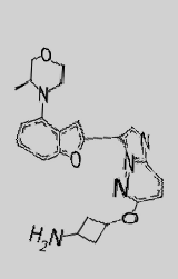 C[C@H]1COCCN1c1cccc2oc(-c3cnc4ccc(OC5CC(N)C5)nn34)cc12